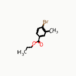 CCCOC(=O)c1ccc(Br)c(C)c1